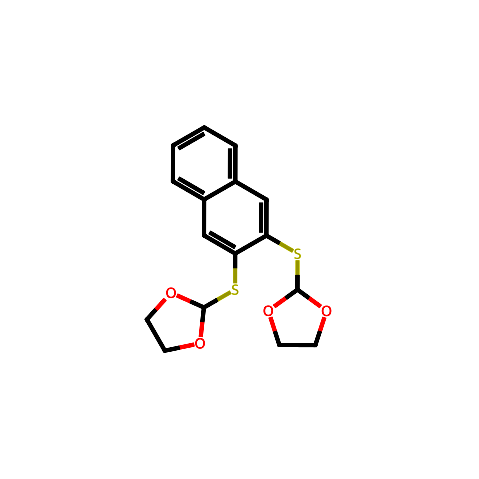 c1ccc2cc(SC3OCCO3)c(SC3OCCO3)cc2c1